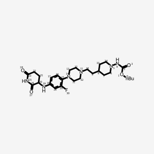 CCCCOC(=O)NN1CCC(CCN2CCN(c3ccc(NC4CCC(=O)NC4=O)cc3F)CC2)CC1